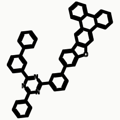 c1ccc(-c2cccc(-c3nc(-c4ccccc4)nc(-c4cccc(-c5ccc6c(c5)oc5cc7c8ccccc8c8ccccc8c7cc56)c4)n3)c2)cc1